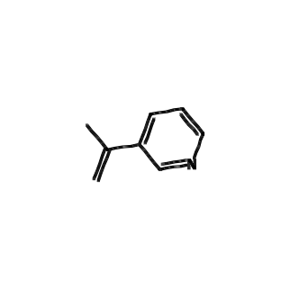 C=C(C)c1cccnc1